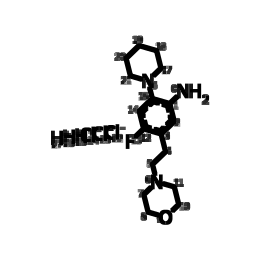 Nc1cc(CCN2CCOCC2)c(F)cc1N1CCCCC1.[Cl-].[Cl-].[Cl-].[H+].[H+].[H+]